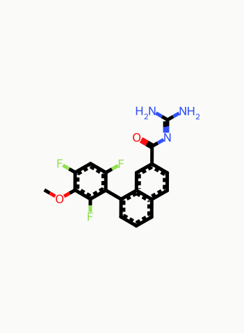 COc1c(F)cc(F)c(-c2cccc3ccc(C(=O)N=C(N)N)cc23)c1F